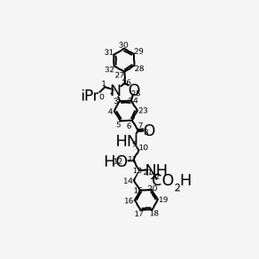 CC(C)CN1c2ccc(C(=O)NC[C@H](O)[C@H](Cc3ccccc3)NC(=O)O)cc2OC1c1ccccc1